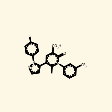 Cc1c(-c2ccnn2-c2ccc(F)cc2)cc(C(=O)O)c(=O)n1-c1cccc(C(F)(F)F)c1